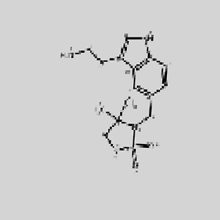 CC1(C)CNS(=O)(=O)N1Cc1ccc2[nH]cc(CCN)c2c1